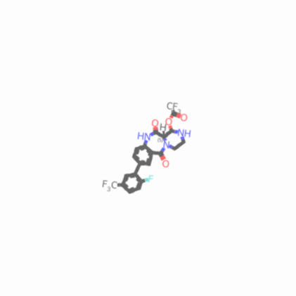 O=C1Nc2ccc(-c3cc(C(F)(F)F)ccc3F)cc2C(=O)N2CCNC(OC(=O)C(F)(F)F)[C@@H]12